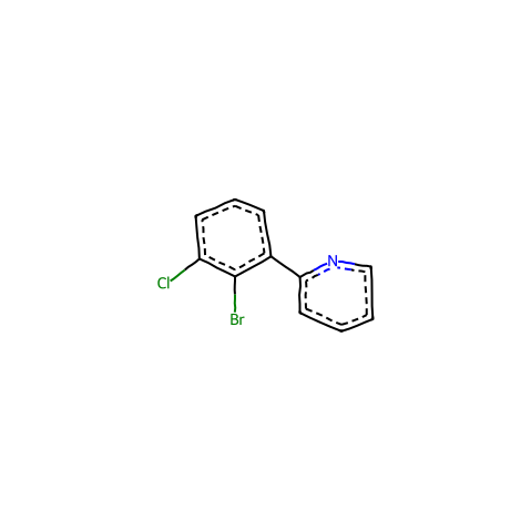 Clc1cccc(-c2ccccn2)c1Br